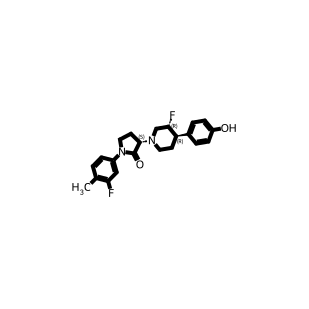 Cc1ccc(N2CC[C@H](N3CC[C@H](c4ccc(O)cc4)[C@@H](F)C3)C2=O)cc1F